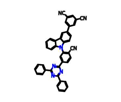 N#Cc1cc(C#N)cc(-c2ccc3c(c2)c2ccccc2n3-c2cc(-c3nc(-c4ccccc4)nc(-c4ccccc4)n3)ccc2C#N)c1